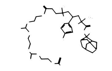 CCC(=O)OCCOC(C)OCCOC(C)OCCOC(=O)CCC(C)(C#N)CC(CC(C)(SC)C(=O)OC1(CC)C2CC3CC(C2)CC1C3)c1ccc(O)cc1